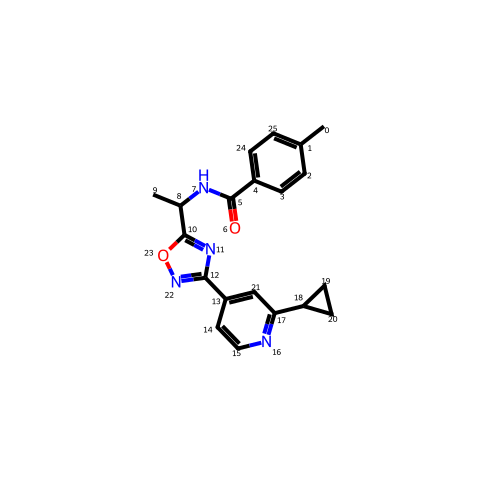 Cc1ccc(C(=O)NC(C)c2nc(-c3ccnc(C4CC4)c3)no2)cc1